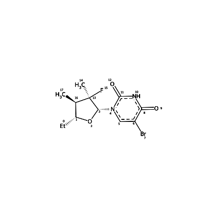 CC[C@H]1O[C@@H](n2cc(Br)c(=O)[nH]c2=O)[C@](C)(F)[C@@H]1C